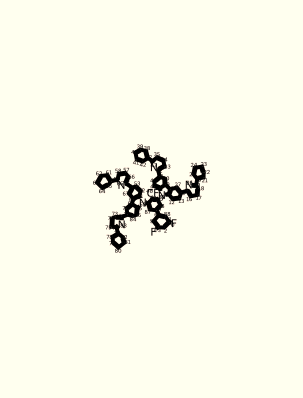 Fc1cc(F)cc(-c2cc(-n3c4ccc(-c5cccc(-c6ccccc6)n5)cc4c4cc(-c5cccc(-c6ccccc6)n5)ccc43)c(C(F)(F)F)c(-n3c4ccc(-c5cccc(-c6ccccc6)n5)cc4c4cc(-c5cccc(-c6ccccc6)n5)ccc43)c2)c1